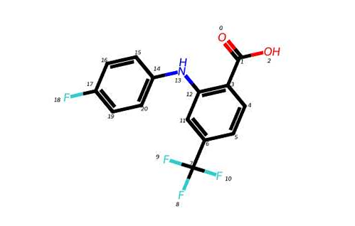 O=C(O)c1ccc(C(F)(F)F)cc1Nc1ccc(F)cc1